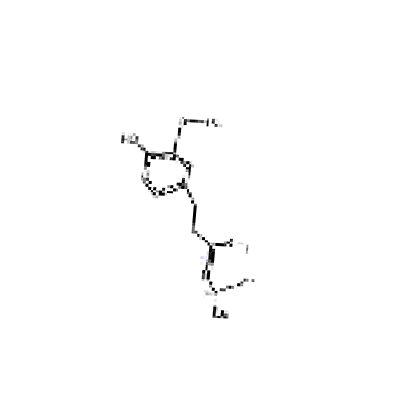 C/C(CCc1ccc(O)c(OC(C)(C)C)c1)=N\[S@+]([O-])C(C)(C)C